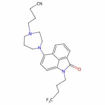 N#CCCCN1CCCN(c2ccc3c4c(cccc24)C(=O)N3CCCC(F)(F)F)CC1